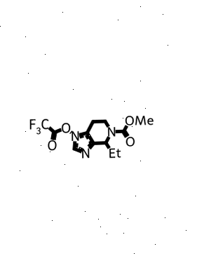 CCC1c2ncn(OC(=O)C(F)(F)F)c2CCN1C(=O)OC